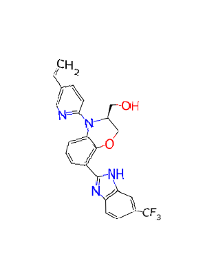 C=Cc1ccc(N2c3cccc(-c4nc5ccc(C(F)(F)F)cc5[nH]4)c3OC[C@@H]2CO)nc1